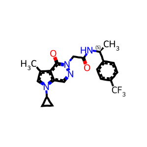 Cc1cn(C2CC2)c2cnn(CC(=O)N[C@@H](C)c3ccc(C(F)(F)F)cc3)c(=O)c12